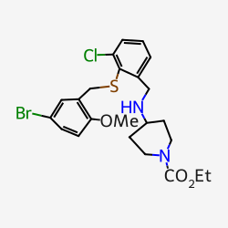 CCOC(=O)N1CCC(NCc2cccc(Cl)c2SCc2cc(Br)ccc2OC)CC1